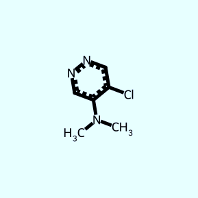 CN(C)c1cnncc1Cl